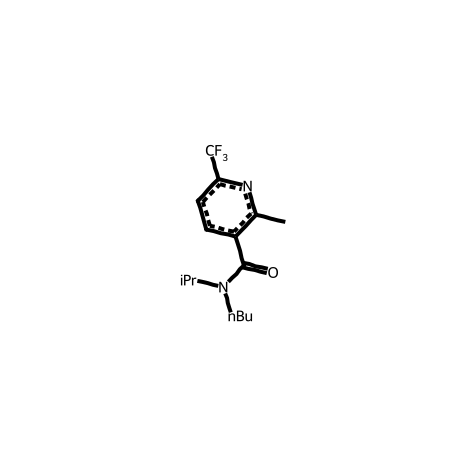 CCCCN(C(=O)c1ccc(C(F)(F)F)nc1C)C(C)C